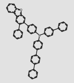 c1ccc(-c2ccc(-c3ccc(N(c4ccc(-c5ccccc5)cc4)c4ccc(-c5cc6oc7ccccc7c6cc5-c5ccccc5)cc4)cc3)cc2)cc1